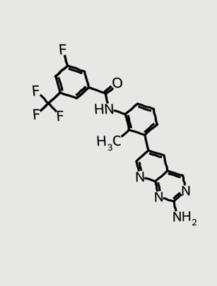 Cc1c(NC(=O)c2cc(F)cc(C(F)(F)F)c2)cccc1-c1cnc2nc(N)ncc2c1